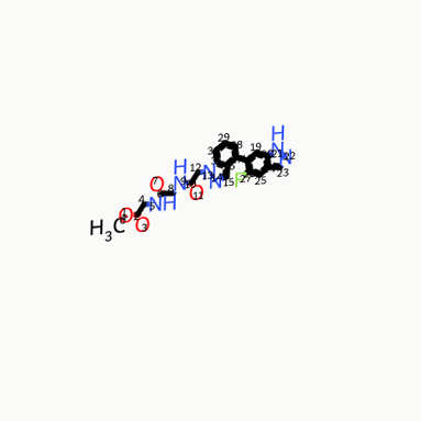 COC(=O)CNC(=O)CNC(=O)Cn1ncc2c(-c3cc4[nH]ncc4cc3F)cccc21